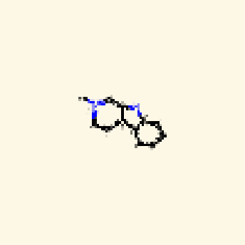 Cn1[c]cc2c3ccccc3nc-2c1